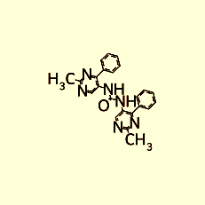 Cc1ncc(NC(=O)Nc2cnc(C)nc2-c2ccccc2)c(-c2ccccc2)n1